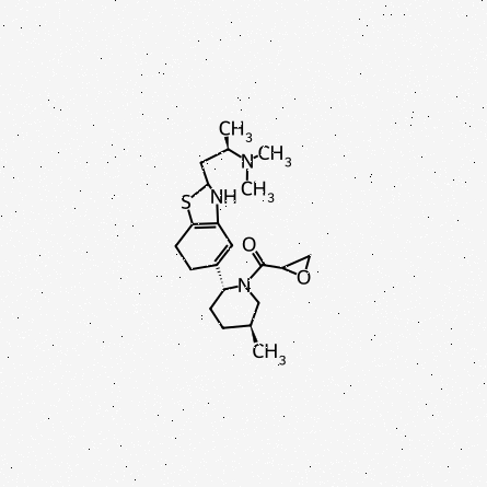 C[C@H]1CC[C@H](C2=CC3=C(CC2)SC(C[C@@H](C)N(C)C)N3)N(C(=O)C2CO2)C1